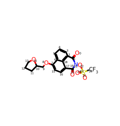 O=C1c2cccc3c(OCC4CCCO4)ccc(c23)C(=O)N1OS(=O)(=O)C(F)(F)F